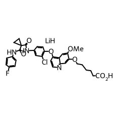 COc1cc2c(Oc3ccc(NC(=O)C4(C(=O)Nc5ccc(F)cc5)CC4)cc3Cl)ccnc2cc1OCCCCCC(=O)O.[LiH]